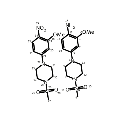 COc1cc(N2CCN(S(C)(=O)=O)CC2)ccc1N.COc1cc(N2CCN(S(C)(=O)=O)CC2)ccc1[N+](=O)[O-]